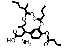 CCCC(=O)Oc1ccc(C(C(C)COC(=O)C(C)CCC)[C@H](N)C(=O)O)cc1OC(=O)CCC